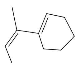 C/C=C(/C)C1=CCCCC1